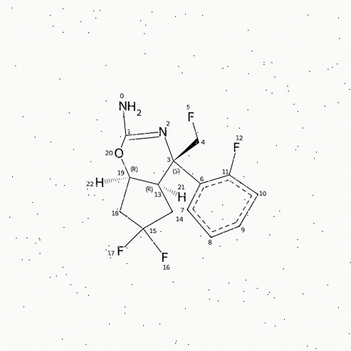 NC1=N[C@](CF)(c2ccccc2F)[C@H]2CC(F)(F)C[C@H]2O1